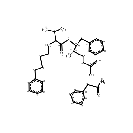 CC(C)C(NCCCCc1ccccc1)C(=O)N[C@@H](Cc1ccccc1)[C@@H](O)CCC(=O)O.NC(=O)Cc1ccccc1